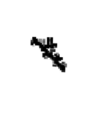 C=CC(=O)NCCCN(CCNC(=O)C=C)CCC(=O)NCCCN(CCNC(=O)C=C)C(=O)C=C